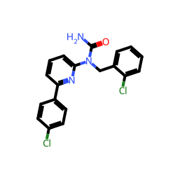 NC(=O)N(Cc1ccccc1Cl)c1cccc(-c2ccc(Cl)cc2)n1